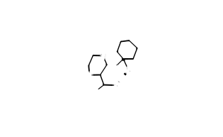 CC(N=C=NC1(I)CCCCC1)C1CNCCO1